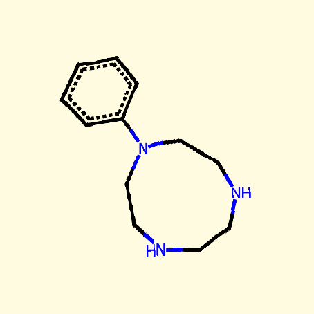 c1ccc(N2CCNCCNCC2)cc1